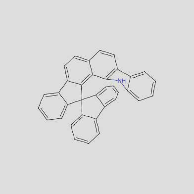 c1ccc2c(c1)-c1ccccc1C21c2ccccc2-c2ccc3ccc4c5ccccc5[nH]c4c3c21